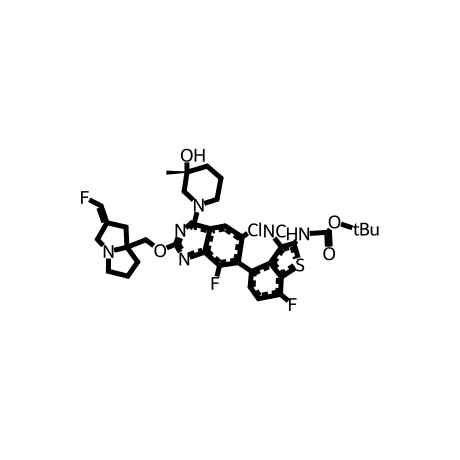 CC(C)(C)OC(=O)Nc1sc2c(F)ccc(-c3c(Cl)cc4c(N5CCC[C@@](C)(O)C5)nc(OCC56CCCN5C/C(=C\F)C6)nc4c3F)c2c1C#N